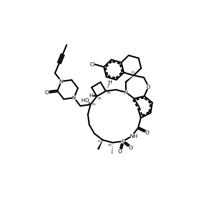 CC#CCN1CCN(C[C@]2(O)CCC[C@H](C)[C@@H](C)S(=O)(=O)NC(=O)c3ccc4c(c3)N(C[C@@H]3CC[C@H]32)C[C@@]2(CCCc3cc(Cl)ccc32)CO4)CC1=O